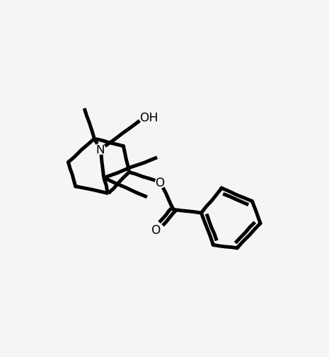 CC12CCC(C(OC(=O)c3ccccc3)C1)C(C)(C)N2O